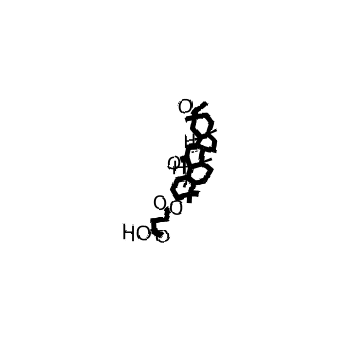 CC(=O)C1(C)CC[C@]2(C)CC[C@]3(C)C(=CC(=O)[C@@H]4[C@@]5(C)CC[C@H](OC(=O)CCC(=O)O)C(C)(C)C5CC[C@]43C)[C@@H]2C1